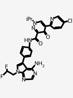 CC(C)n1cc(-c2ccc(Cl)cn2)c(=O)c(C(=O)Nc2ccc(-c3cn(CC(F)F)c4ncnc(N)c34)cc2)n1